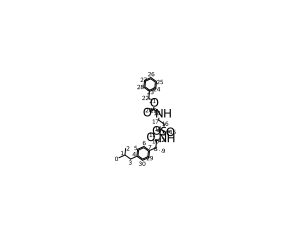 CC(C)Cc1ccc([C@@H](C)C(=O)NS(=O)(=O)CCNC(=O)OCc2ccccc2)cc1